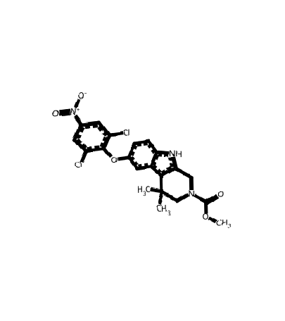 COC(=O)N1Cc2[nH]c3ccc(Oc4c(Cl)cc([N+](=O)[O-])cc4Cl)cc3c2C(C)(C)C1